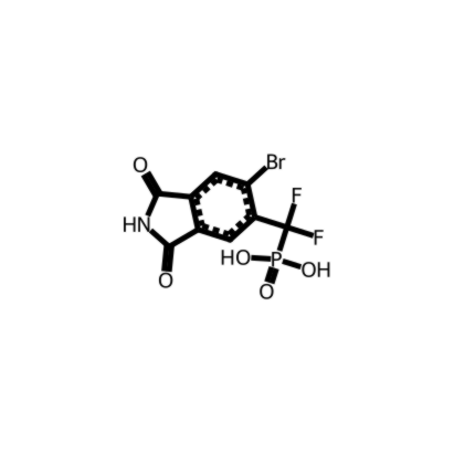 O=C1NC(=O)c2cc(C(F)(F)P(=O)(O)O)c(Br)cc21